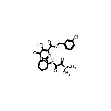 CN(C)C(=O)C(=O)NC12CCC(CC1)Cn1c2nc(C(=O)NCc2cccc(Cl)c2)c(O)c1=O